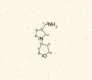 NCC1CCN(C2CCOCC2)C1